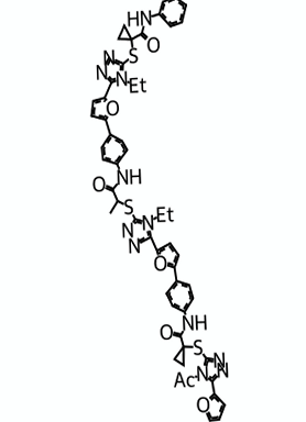 CCn1c(SC(C)C(=O)Nc2ccc(-c3ccc(-c4nnc(SC5(C(=O)Nc6ccccc6)CC5)n4CC)o3)cc2)nnc1-c1ccc(-c2ccc(NC(=O)C3(Sc4nnc(-c5ccco5)n4C(C)=O)CC3)cc2)o1